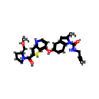 C#CCNC(=O)n1c(C)cc2cc(Oc3ccnc4cc(C(=O)N5CCC[C@H]5COC)sc34)ccc21